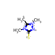 Cc1n(C)c([S-])n[n+]1C